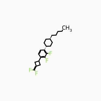 CCCCC[C@H]1CC[C@H](c2ccc(C3CC(=C(F)F)C3)c(F)c2F)CC1